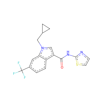 O=C(Nc1nccs1)c1cn(CC2CC2)c2cc(C(F)(F)F)ccc12